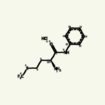 Cl.N[C@@H](CCSC(F)(F)F)C(=O)Nc1ccccc1